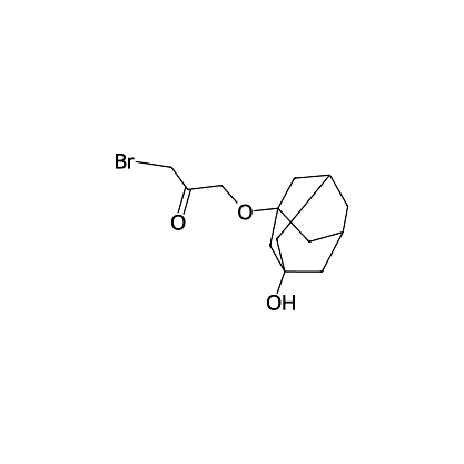 O=C(CBr)COC12CC3CC(CC(O)(C3)C1)C2